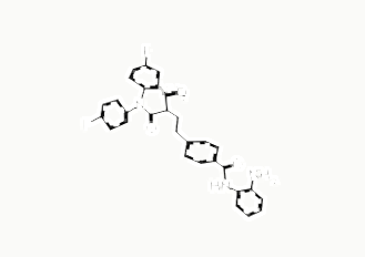 NC(=O)C(CCc1ccc(C(=O)Nc2ccccc2N)cc1)C(=O)N(c1ccc(F)cc1)c1ccc(F)cc1